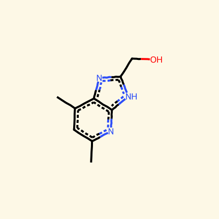 Cc1cc(C)c2nc(CO)[nH]c2n1